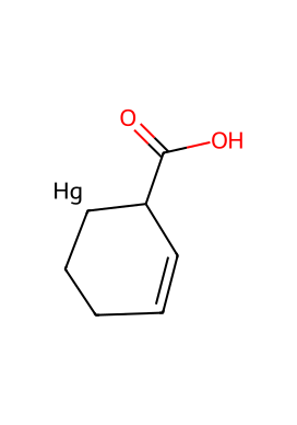 O=C(O)C1C=CCCC1.[Hg]